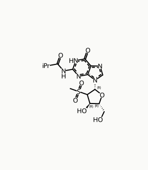 CC(C)C(=O)Nc1nc2c(ncn2[C@@H]2O[C@H](CO)[C@@H](O)C2S(C)(=O)=O)c(=O)[nH]1